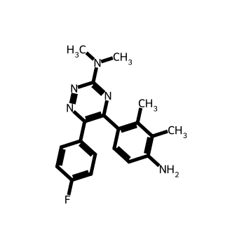 Cc1c(N)ccc(-c2nc(N(C)C)nnc2-c2ccc(F)cc2)c1C